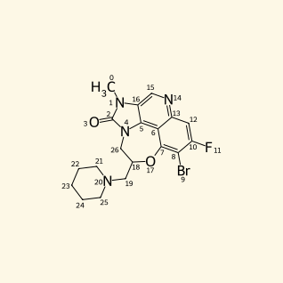 Cn1c(=O)n2c3c4c(c(Br)c(F)cc4ncc31)OC(CN1CCCCC1)C2